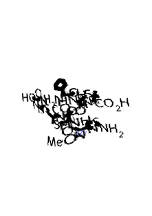 CC1(C)S[C@@H]2[C@H](NC(=O)[C@H](N)c3ccccc3)C(=O)N2[C@H]1C(=O)O.CO/N=C(\C(=O)N[C@@H]1C(=O)N2C(C(=O)O)=C(CSc3nc(=O)c(O)nn3C)CS[C@H]12)c1csc(N)n1